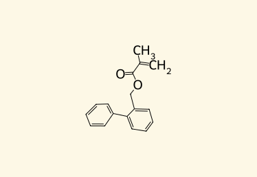 C=C(C)C(=O)OCc1ccccc1-c1ccccc1